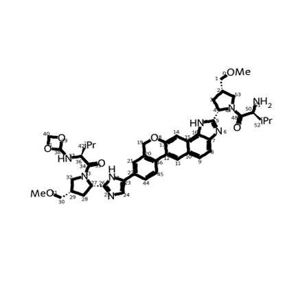 COC[C@H]1C[C@@H](c2nc3ccc4cc5c(cc4c3[nH]2)OCc2cc(-c3cnc([C@@H]4C[C@H](COC)CN4C(=O)[C@@H](NC4OCO4)C(C)C)[nH]3)ccc2-5)N(C(=O)[C@@H](N)C(C)C)C1